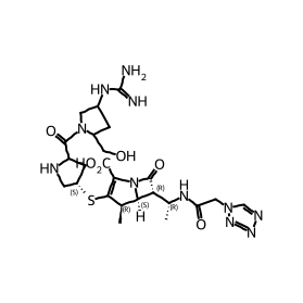 C[C@@H](NC(=O)Cn1cnnn1)[C@H]1C(=O)N2C(C(=O)O)=C(S[C@@H]3CNC(C(=O)N4CC(NC(=N)N)CC4CO)C3)[C@H](C)[C@H]12